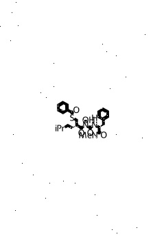 CNC(=O)[C@H](Cc1ccccc1)NC(=O)N(O)C(=O)[C@H](CCC(C)C)CSC(=O)c1ccccc1